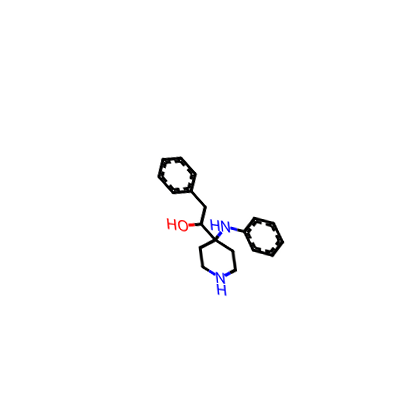 OC(Cc1ccccc1)C1(Nc2ccccc2)CCNCC1